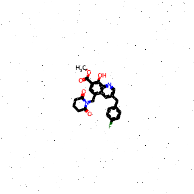 COC(=O)c1cc(CN2C(=O)CCCC2=O)c2cc(Cc3ccc(F)cc3)cnc2c1O